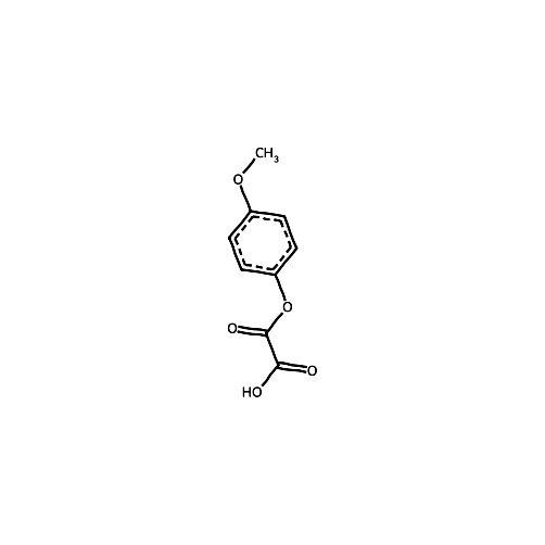 COc1ccc(OC(=O)C(=O)O)cc1